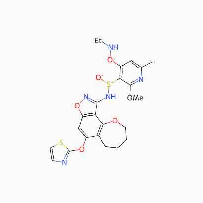 CCNOc1cc(C)nc(OC)c1[S+]([O-])Nc1noc2cc(Oc3nccs3)c3c(c12)OCCCC3